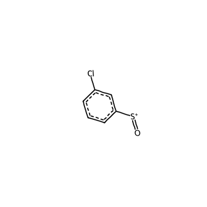 O=[S+]c1cccc(Cl)c1